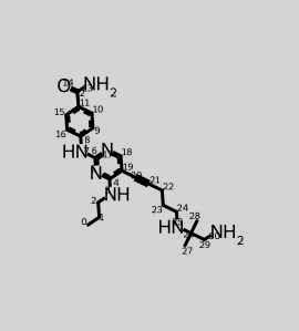 CCCNc1nc(Nc2ccc(C(N)=O)cc2)ncc1C#CCCCNC(C)(C)CN